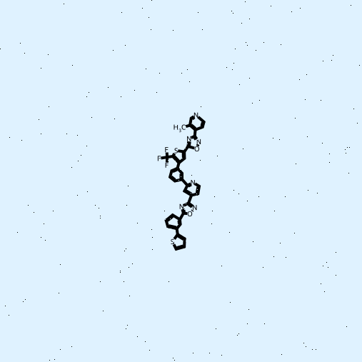 Cc1cnccc1-c1noc(-c2cc(-c3cccc(-c4cc(-c5noc(-c6cccc(-c7cccs7)c6)n5)ccn4)c3)c(C(F)(F)F)s2)n1